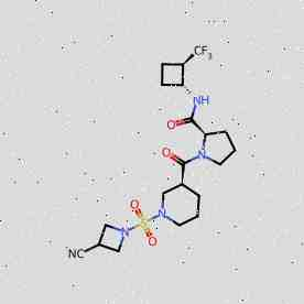 N#CC1CN(S(=O)(=O)N2CCC[C@H](C(=O)N3CCC[C@@H]3C(=O)N[C@@H]3CC[C@H]3C(F)(F)F)C2)C1